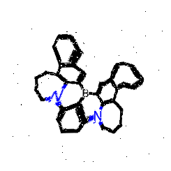 c1cc2c3c(c1)N1CCCCc4c1c(cc1ccccc41)B3c1cc3ccccc3c3c1N2CCCC3